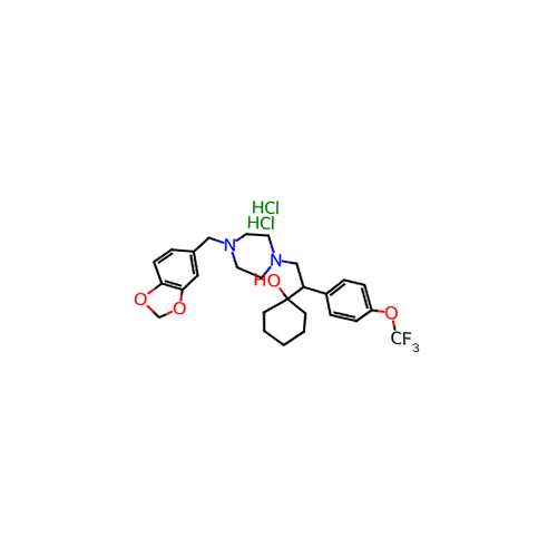 Cl.Cl.OC1(C(CN2CCN(Cc3ccc4c(c3)OCO4)CC2)c2ccc(OC(F)(F)F)cc2)CCCCC1